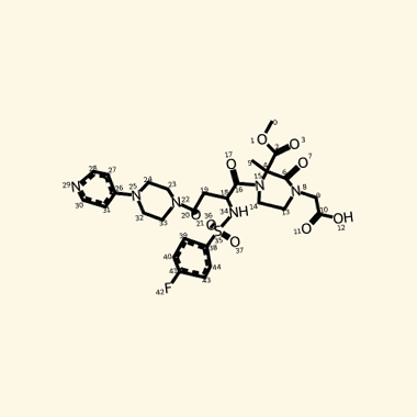 COC(=O)C1(C)C(=O)N(CC(=O)O)CCN1C(=O)C(CC(=O)N1CCN(c2ccncc2)CC1)NS(=O)(=O)c1ccc(F)cc1